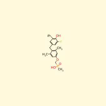 Cc1cc(OCP(C)(=O)O)cc(C)c1Cc1cc(F)c(O)c(C(C)C)c1